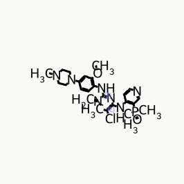 C=N/C(=N\C(Nc1ccncc1P(C)(C)=O)=C(/C)Cl)Nc1ccc(N2CCN(C)CC2)cc1OC